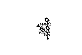 O=C(Nc1ccc(Sc2nc(Nc3cc(C4CC4)[nH]n3)nc(C3CC3)n2)cc1)c1ccccc1